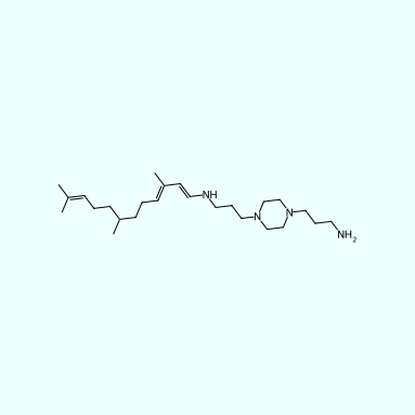 CC(C)=CCCC(C)CCC=C(C)C=CNCCCN1CCN(CCCN)CC1